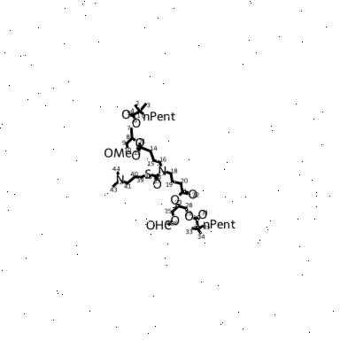 CCCCCC(C)(C)C(=O)OCC(COC)OC(=O)CCCN(CCCC(=O)OC(COC=O)COC(=O)C(C)(C)CCCCC)C(=O)SCCCN(C)C